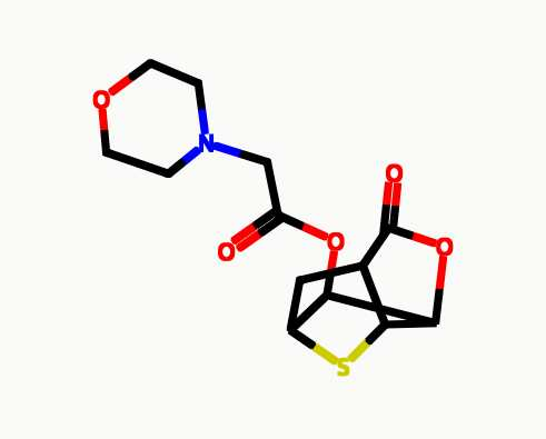 O=C(CN1CCOCC1)OC1C2CC3C(=O)OC1C3S2